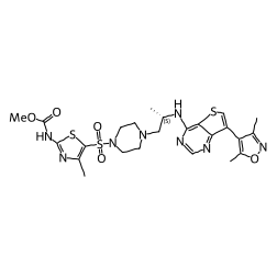 COC(=O)Nc1nc(C)c(S(=O)(=O)N2CCN(C[C@H](C)Nc3ncnc4c(-c5c(C)noc5C)csc34)CC2)s1